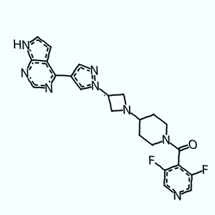 O=C(c1c(F)cncc1F)N1CCC(N2C[C](n3cc(-c4ncnc5[nH]ccc45)cn3)C2)CC1